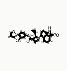 O=C=c1[nH]c2ccc(-n3ncc(C(=O)Nc4ccc(-n5cccn5)c(Cl)c4)c3C3CC3)c3cccc1c23